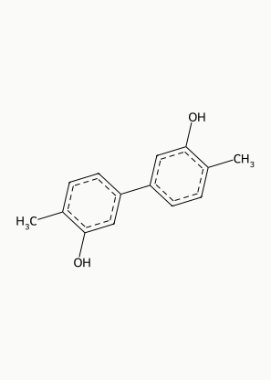 Cc1ccc(-c2ccc(C)c(O)c2)cc1O